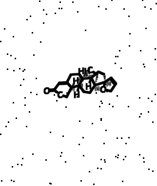 CC[C@]12CC[C@H]3[C@@H](CCC4=CC(=O)CC[C@@H]43)[C@@H]1CC[C@@]21C=CCO1